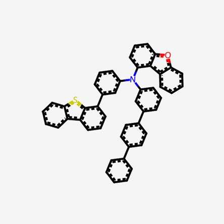 c1ccc(-c2ccc(-c3cccc(N(c4cccc(-c5cccc6c5sc5ccccc56)c4)c4cccc5oc6ccccc6c45)c3)cc2)cc1